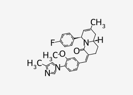 COc1cc(/C=C2/CC[C@H]3CC(C)=C[C@H](c4ccc(F)cc4)N3C2=O)ccc1-n1cnc(C)c1